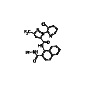 CC(C)NC(=O)c1ccc2ccccc2c1NC(=O)c1cc(C(F)(F)F)nn1-c1ncccc1Cl